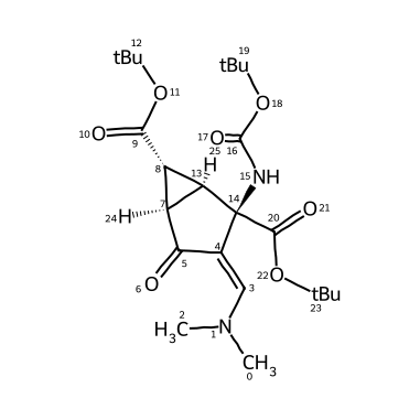 CN(C)/C=C1\C(=O)[C@H]2[C@H](C(=O)OC(C)(C)C)[C@H]2[C@]1(NC(=O)OC(C)(C)C)C(=O)OC(C)(C)C